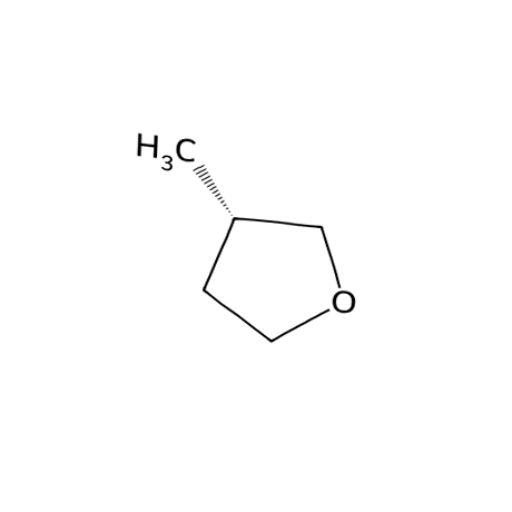 C[C@H]1CCOC1